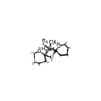 C[SiH2]C1(OC2([SiH2]C)CCCCO2)CCCCO1